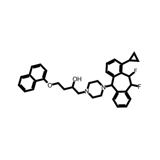 OC(CCOc1cccc2ccccc12)CN1CCN(C2c3ccccc3C(F)C(F)c3c(C4CC4)cccc32)CC1